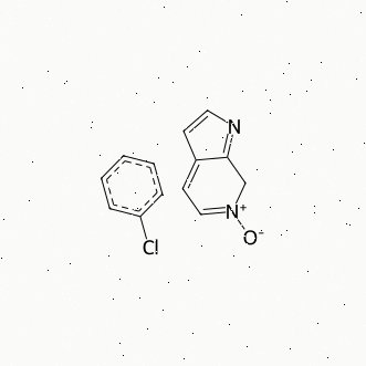 Clc1ccccc1.[O-][N+]1=CC=C2C=CN=C2C1